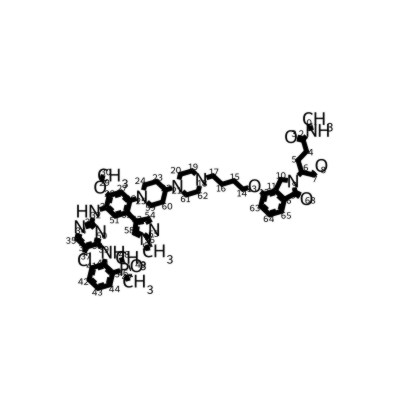 CNC(=O)CCC(C=O)N1Cc2c(OCCCCN3CCN(C4CCN(c5cc(OC)c(Nc6ncc(Cl)c(Nc7ccccc7P(C)(C)=O)n6)cc5-c5cnn(C)c5)CC4)CC3)cccc2C1=O